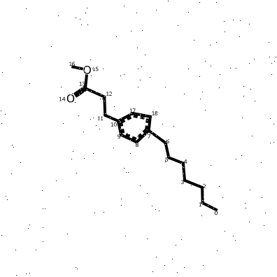 CCCCCCCc1ccc(CCC(=O)OC)cc1